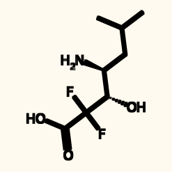 CC(C)C[C@H](N)[C@H](O)C(F)(F)C(=O)O